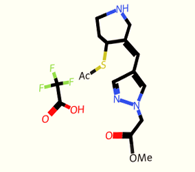 COC(=O)Cn1cc(C=C2CNCCC2SC(C)=O)cn1.O=C(O)C(F)(F)F